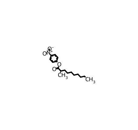 CCCCCCCC[C@@H](C)C(=O)Oc1ccc([N+](=O)[O-])cc1